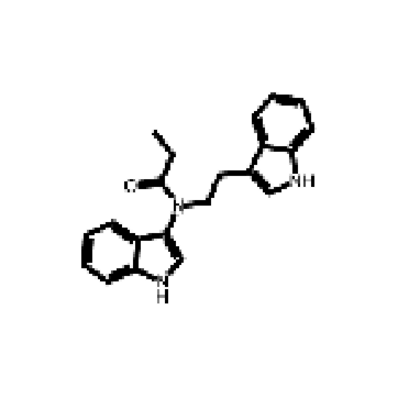 CCC(=O)N(CCc1c[nH]c2ccccc12)c1c[nH]c2ccccc12